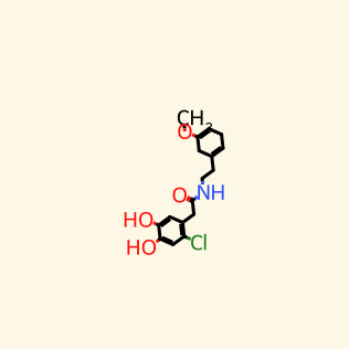 COC1=CCC=C(CCNC(=O)Cc2cc(O)c(O)cc2Cl)C1